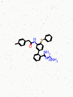 Cc1ccc(CC(=O)Nc2cc(-c3ccccc3/C(N)=N/NN)ccc2Sc2ccccc2)cc1